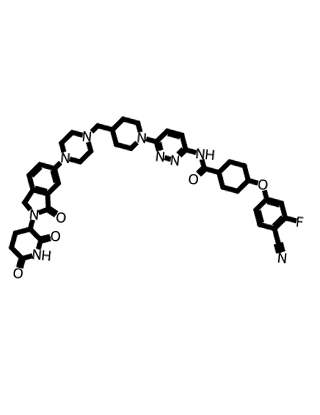 N#Cc1ccc(OC2CCC(C(=O)Nc3ccc(N4CCC(CN5CCN(c6ccc7c(c6)C(=O)N(C6CCC(=O)NC6=O)C7)CC5)CC4)nn3)CC2)cc1F